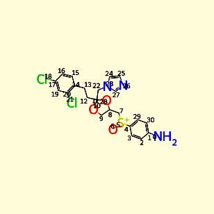 Nc1ccc([S+]([O-])CC2COC(CCc3ccc(Cl)cc3Cl)(Cn3ccnc3)O2)cc1